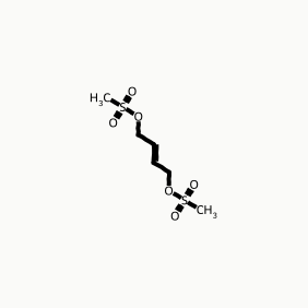 CS(=O)(=O)OC/C=C/COS(C)(=O)=O